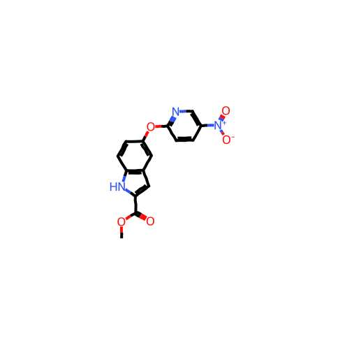 COC(=O)c1cc2cc(Oc3ccc([N+](=O)[O-])cn3)ccc2[nH]1